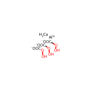 O=C([O-])OO.O=C([O-])OO.O=C([O-])OO.[Al+3].[CaH2]